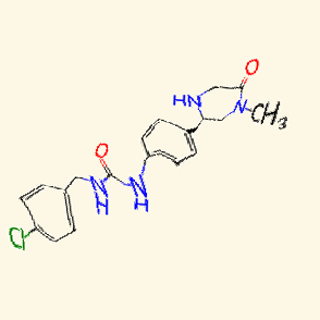 CN1C[C@@H](c2ccc(NC(=O)NCc3ccc(Cl)cc3)cc2)NCC1=O